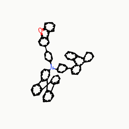 c1ccc2c(c1)-c1ccccc1C21c2ccccc2-c2ccc(N(c3ccc(-c4ccc5oc6ccccc6c5c4)cc3)c3ccc(-c4cccc5c6ccccc6c6ccccc6c45)cc3)cc21